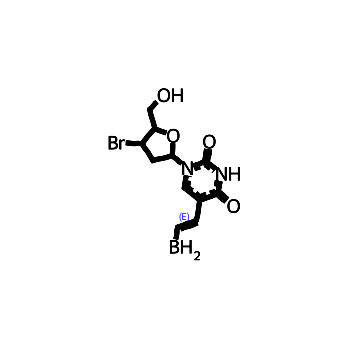 B/C=C/c1cn(C2CC(Br)C(CO)O2)c(=O)[nH]c1=O